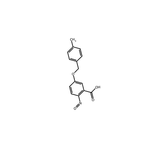 Cc1ccc(COc2ccc(N=O)c(C(=O)O)c2)cc1